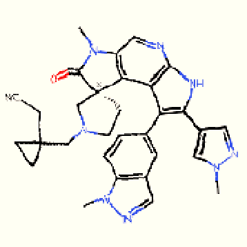 CN1C(=O)[C@@]2(CCN(CC3(CC#N)CC3)C2)c2c1cnc1[nH]c(-c3cnn(C)c3)c(-c3ccc4c(cnn4C)c3)c21